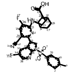 Cc1ccc(S(=O)(=O)n2cc(-c3nc(NC4C5CCC(CC5)C4C(=O)O)c(F)cc3C#N)c3cc(F)cnc32)cc1